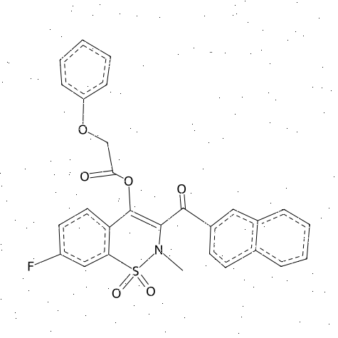 CN1C(C(=O)c2ccc3ccccc3c2)=C(OC(=O)COc2ccccc2)c2ccc(F)cc2S1(=O)=O